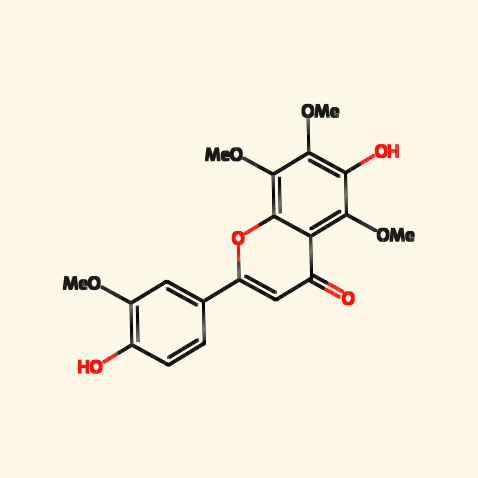 COc1cc(-c2cc(=O)c3c(OC)c(O)c(OC)c(OC)c3o2)ccc1O